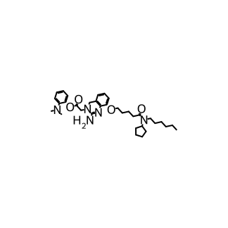 CCCCCCN(C(=O)CCCCOc1cccc2c1N=C(N)N(CC(=O)Oc1ccccc1N(C)C)C2)C1CCCC1